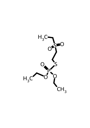 CCOP(=O)(OCC)SCCS(=O)(=O)CC